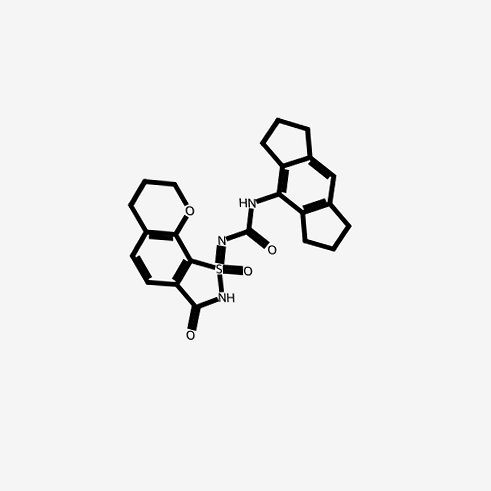 O=C(N=S1(=O)NC(=O)c2ccc3c(c21)OCCC3)Nc1c2c(cc3c1CCC3)CCC2